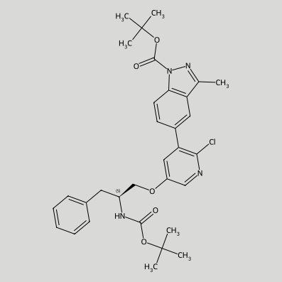 Cc1nn(C(=O)OC(C)(C)C)c2ccc(-c3cc(OC[C@H](Cc4ccccc4)NC(=O)OC(C)(C)C)cnc3Cl)cc12